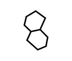 [CH]1CCC2C[CH]CCC2C1